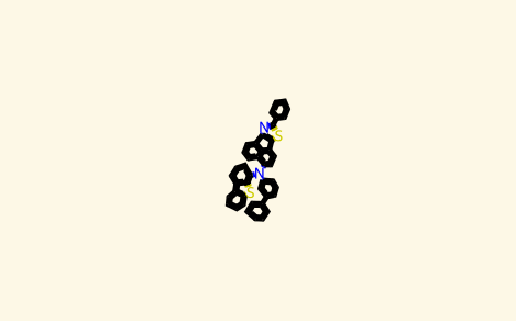 c1ccc(-c2cccc(N(c3ccc4c5c(cccc35)-c3nc(-c5ccccc5)sc3-4)c3cccc4c3sc3ccccc34)c2)cc1